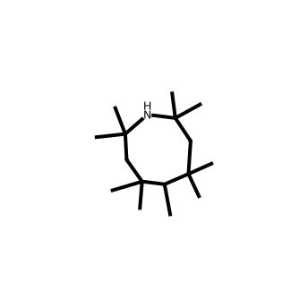 CC1C(C)(C)CC(C)(C)NC(C)(C)CC1(C)C